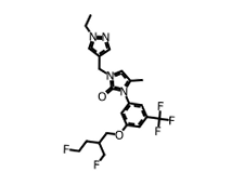 CCn1cc(Cn2cc(C)n(-c3cc(OCC(CF)CCF)cc(C(F)(F)F)c3)c2=O)cn1